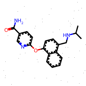 CC(C)NCc1ccc(Oc2ccc(C(N)=O)cn2)c2ccccc12